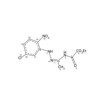 CCOC(=O)C(=O)N/C(C)=N\Nc1cc(Cl)ccc1[N+](=O)[O-]